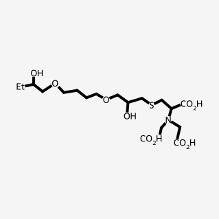 CCC(O)COCCCCOCC(O)CSCC(C(=O)O)N(CC(=O)O)CC(=O)O